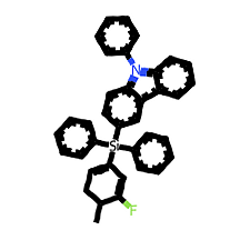 CC1CC=C([Si](c2ccccc2)(c2ccccc2)c2ccc3c(c2)c2ccccc2n3-c2ccccc2)C=C1F